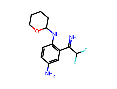 N=C(c1cc(N)ccc1NC1CCCCO1)C(F)F